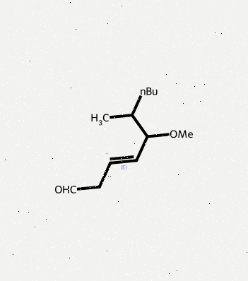 CCCCC(C)C(/C=C/CC=O)OC